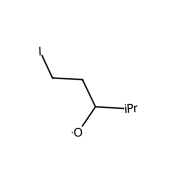 CC(C)C([O])CCI